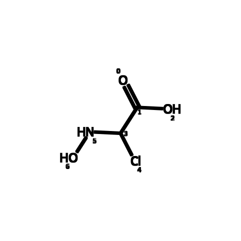 O=C(O)C(Cl)NO